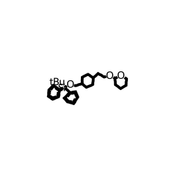 CC(C)(C)[Si](OCC1CCC(CCOC2CCCCO2)CC1)(c1ccccc1)c1ccccc1